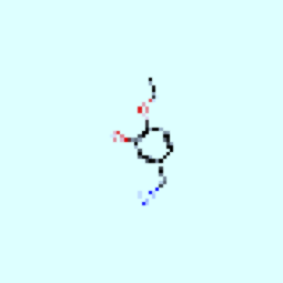 CCOc1ccc(CN)cc1[O]